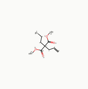 C=CCC(CCC(C)C)(C(=O)OCCC)C(=O)OCCC